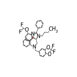 CCCCn1c(-c2ccccc2)nc(-c2ccccc2)c1CN(Cc1ccc(OC(F)F)cc1)Cc1ccc2c(c1)OC(F)(F)O2